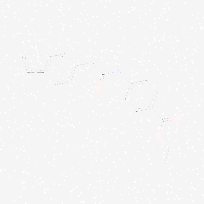 CCOC(=O)c1ccc(NC(=O)Nc2ccc3cc[nH]c3c2)cc1